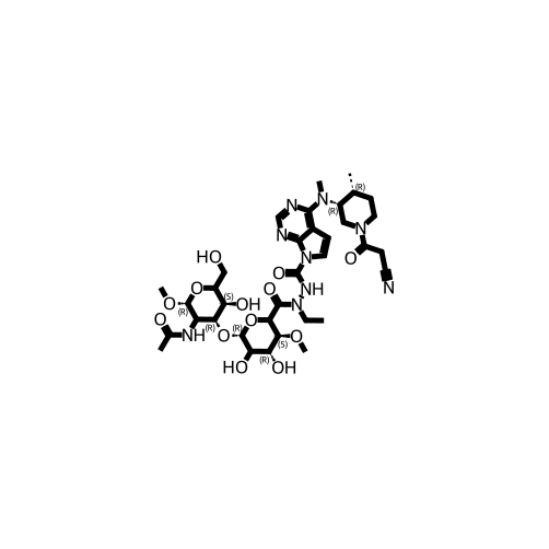 CCN(NC(=O)n1ccc2c(N(C)[C@H]3CN(C(=O)CC#N)CC[C@H]3C)ncnc21)C(=O)C1O[C@@H](O[C@@H]2C(NC(C)=O)[C@H](OC)OC(CO)[C@H]2O)C(O)[C@@H](O)[C@@H]1OC